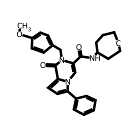 COc1ccc(Cn2c(C(=O)NC3CCCCCC3)cn3c(-c4ccccc4)ccc3c2=O)cc1